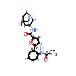 O=C(N[C@@H]1C[C@H]2CCN(C2)C1)c1ccc(-c2ccccc2NC(=O)C(F)(F)F)o1